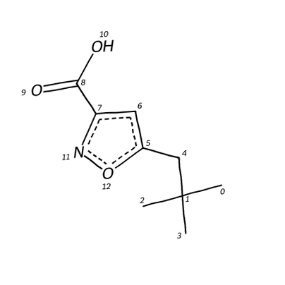 CC(C)(C)Cc1cc(C(=O)O)no1